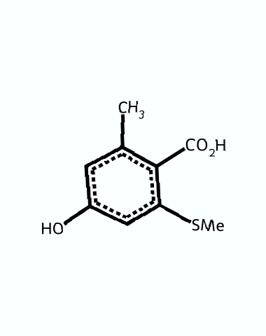 CSc1cc(O)cc(C)c1C(=O)O